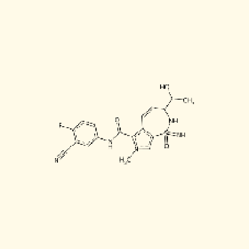 CC(O)C1C=Cc2c(cn(C)c2C(=O)Nc2ccc(F)c(C#N)c2)S(=N)(=O)N1